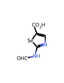 O=CNc1ncc(C(=O)O)[se]1